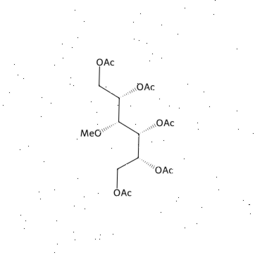 CO[C@@H]([C@H](OC(C)=O)[C@@H](COC(C)=O)OC(C)=O)[C@H](COC(C)=O)OC(C)=O